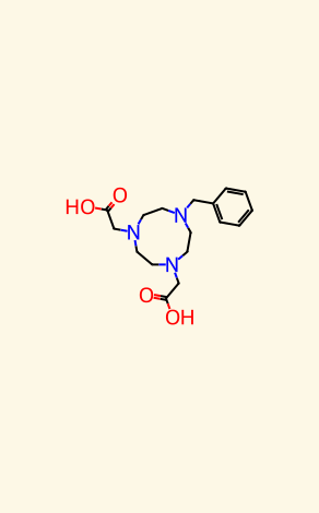 O=C(O)CN1CCN(CC(=O)O)CCN(Cc2ccccc2)CC1